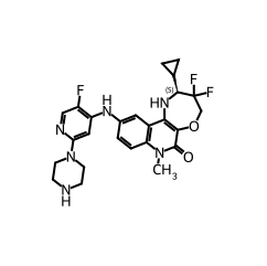 Cn1c(=O)c2c(c3cc(Nc4cc(N5CCNCC5)ncc4F)ccc31)N[C@@H](C1CC1)C(F)(F)CO2